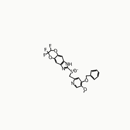 COc1cnc(C[S+]([O-])c2nc3cc4c(cc3[nH]2)OC(F)C(F)(F)O4)cc1OCc1ccccc1